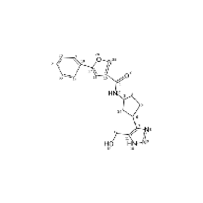 O=C(NC1CCC(c2nn[nH]c2CO)C1)c1cc(-c2ccccc2)on1